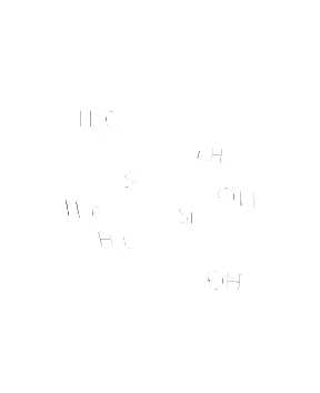 C[Si](C)(C)[Si](C)(O)O